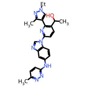 CCn1cc(-c2nc(-n3cnc4cc(Nc5ccc(C)nn5)ccc43)ccc2C(C)O)c(C)n1